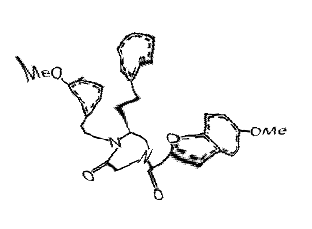 COc1cccc(CN2C(=O)CN(C(=O)c3cc4cc(OC)ccc4o3)C[C@@H]2CCc2ccccc2)c1